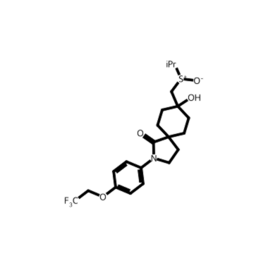 CC(C)[S+]([O-])CC1(O)CCC2(CCN(c3ccc(OCC(F)(F)F)cc3)C2=O)CC1